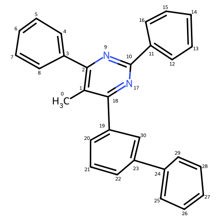 Cc1c(-c2ccccc2)nc(-c2ccccc2)nc1-c1cccc(-c2ccccc2)c1